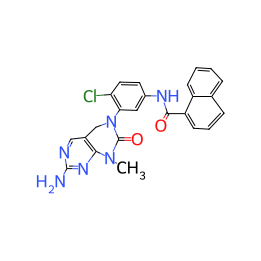 CN1C(=O)N(c2cc(NC(=O)c3cccc4ccccc34)ccc2Cl)Cc2cnc(N)nc21